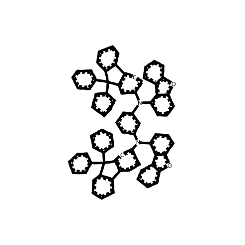 c1ccc(C2(c3ccccc3)c3ccccc3-c3ccc(N(c4cccc(N(c5ccc6c(c5)C(c5ccccc5)(c5ccccc5)c5ccccc5-6)c5cccc6oc7ccccc7c56)c4)c4cccc5oc6ccccc6c45)cc32)cc1